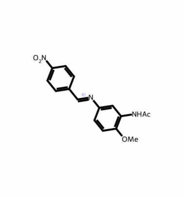 COc1ccc(/N=C/c2ccc([N+](=O)[O-])cc2)cc1NC(C)=O